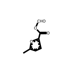 Cc1ccc(C(=O)OC=O)o1